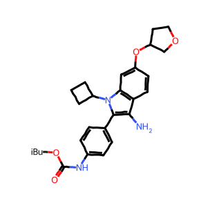 CCC(C)OC(=O)Nc1ccc(-c2c(N)c3ccc(OC4CCOC4)cc3n2C2CCC2)cc1